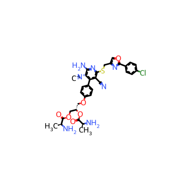 [C-]#[N+]c1c(N)nc(SCc2coc(-c3ccc(Cl)cc3)n2)c(C#N)c1-c1ccc(OC[C@@H](COC(=O)[C@H](C)N)OC(=O)[C@H](C)N)cc1